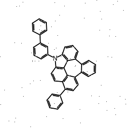 c1ccc(-c2cccc(-n3c4cccc5c4c4c6c(ccc(-c7ccccc7)c6ccc43)-c3ccccc3-5)c2)cc1